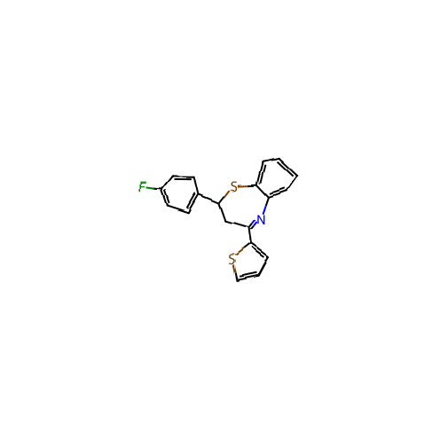 Fc1ccc(C2CC(c3cccs3)=Nc3ccccc3S2)cc1